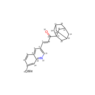 COc1ccc2cc(C=CC(=O)C34CC5CC(CC(C5)C3)C4)cnc2c1